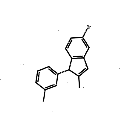 CC1=Cc2cc(Br)ccc2C1c1cccc(C)c1